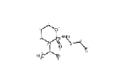 CC(Br)N1CCCOP1(=O)NCCBr